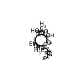 CC[C@@]12CCC[C@@H]3C=C(C(=O)[C@H](C)[C@H]3O)[C@@H](O)CC(=O)O[C@H](/C(C)=C/c3csc(CF)n3)C[C@@H]1O2